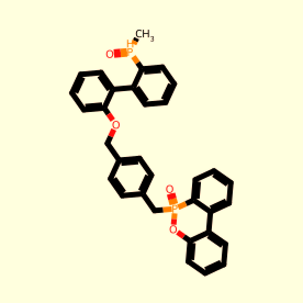 C[PH](=O)c1ccccc1-c1ccccc1OCc1ccc(CP2(=O)Oc3ccccc3-c3ccccc32)cc1